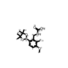 COc1ccc(B2OC(C)(C)C(C)(C)O2)c(CNC(=O)O)c1F